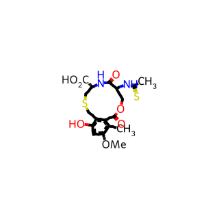 COc1cc(O)c2c(c1C)C(=O)OCC(NC(C)=S)C(=O)NC(C(=O)O)CSC2